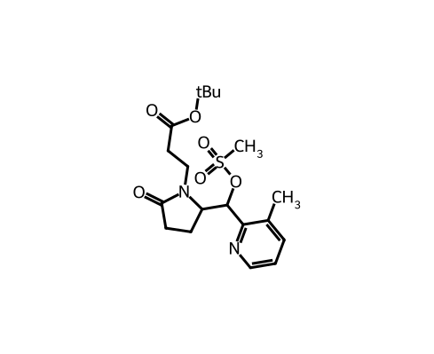 Cc1cccnc1C(OS(C)(=O)=O)C1CCC(=O)N1CCC(=O)OC(C)(C)C